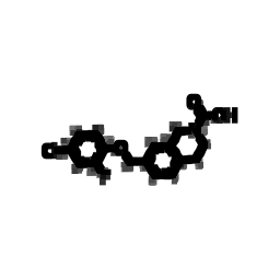 O=C(O)N1CCc2ccc(COc3ccc(Cl)cc3F)cc2C1